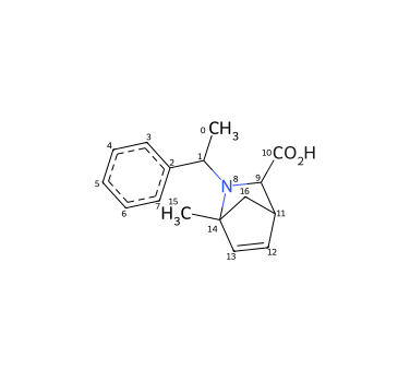 CC(c1ccccc1)N1C(C(=O)O)C2C=CC1(C)C2